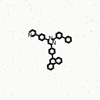 c1ccc(-c2cccc(-c3nc(-c4ccc(-c5cccnc5)cc4)cc(-c4ccc(-c5cc6ccccc6c6ccccc56)cc4)n3)c2)cc1